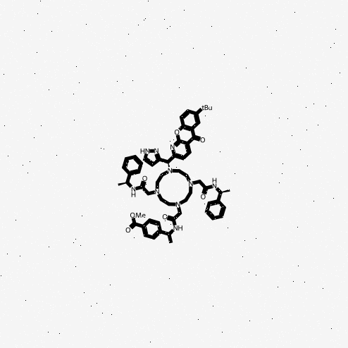 COC(=O)c1ccc(C(C)NC(=O)CN2CCN(CC(=O)N[C@@H](C)c3ccccc3)CCN([C@H](c3cc[nH]n3)c3ccc4c(=O)c5cc(C(C)(C)C)ccc5oc4n3)CCN(CC(=O)N[C@@H](C)c3ccccc3)CC2)cc1